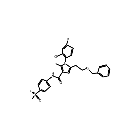 Cc1c(C(=O)Nc2ccc(S(C)(=O)=O)cc2)cc(CCOCc2ccccc2)n1-c1ccc(F)cc1Cl